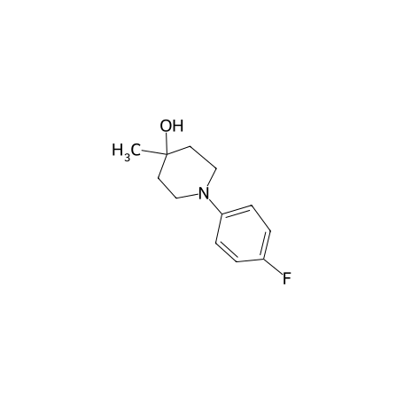 CC1(O)CCN(c2ccc(F)cc2)CC1